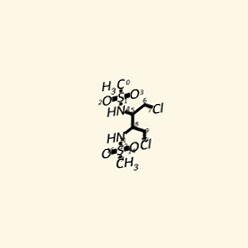 CS(=O)(=O)NC(CCl)C(CCl)NS(C)(=O)=O